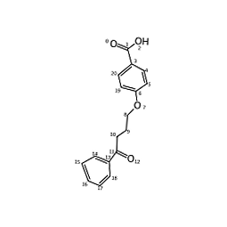 O=C(O)c1ccc(OCCCC(=O)c2ccccc2)cc1